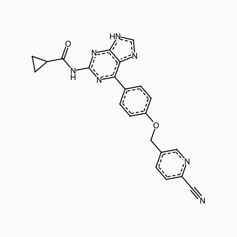 N#Cc1ccc(COc2ccc(-c3nc(NC(=O)C4CC4)nc4[nH]cnc34)cc2)cn1